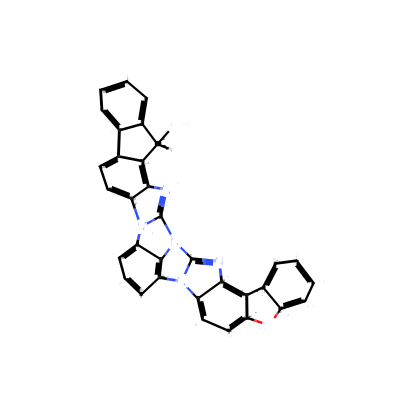 CC1(C)c2ccccc2-c2ccc3c(nc4n3c3cccc5c3n4c3nc4c6c(ccc4n53)oc3ccccc36)c21